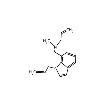 C=CCN(C)Cc1cccc2ccn(CC=C)c12